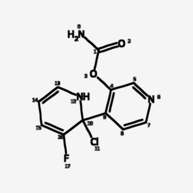 NC(=O)Oc1cnccc1C1(Cl)NC=CC=C1F